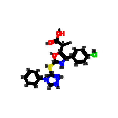 CC(C(=O)O)c1oc(Sc2nncn2-c2ccccc2)nc1-c1ccc(Cl)cc1